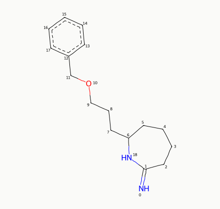 N=C1CCCCC(CCCOCc2ccccc2)N1